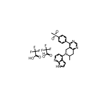 CC1Cc2ncnc(-c3ccc(S(C)(=O)=O)cc3)c2CN1c1ccnc2[nH]ccc12.O=C(O)C(F)(F)F.O=C(O)C(F)(F)F